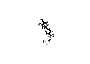 CCOC(=O)C1CCN(c2ncc(Cl)c(O)n2)CC1